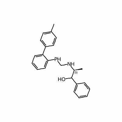 Cc1ccc(-c2ccccc2PCN[C@@H](C)C(O)c2ccccc2)cc1